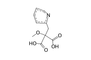 COC(Cc1ccccn1)(C(=O)O)C(=O)O